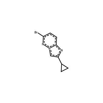 Brc1ccc2nc(C3CC3)cn2n1